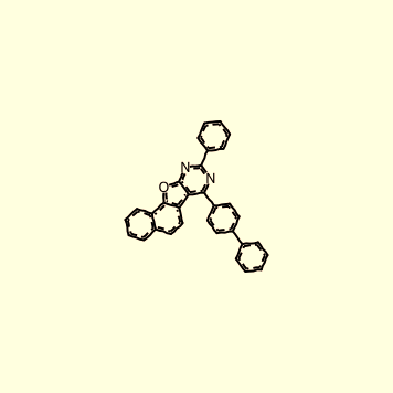 c1ccc(-c2ccc(-c3nc(-c4ccccc4)nc4oc5c6ccccc6ccc5c34)cc2)cc1